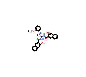 CC(NC(=O)c1cc2ccccc2cc1O)NC(=O)c1cc2ccccc2cc1O.COc1ccccc1N